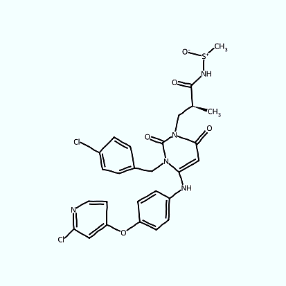 C[C@@H](Cn1c(=O)cc(Nc2ccc(Oc3ccnc(Cl)c3)cc2)n(Cc2ccc(Cl)cc2)c1=O)C(=O)N[S+](C)[O-]